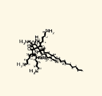 CCCCCCCCCCCCCCCCC(CCCN)(C(=O)C(N)CCCCN)C(C(=O)O)(C(=O)C(N)CCCCN)N(C(=O)C(N)CCCCN)C(=O)C(N)CCCCN